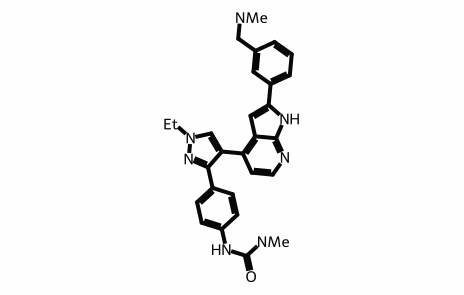 CCn1cc(-c2ccnc3[nH]c(-c4cccc(CNC)c4)cc23)c(-c2ccc(NC(=O)NC)cc2)n1